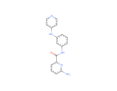 Nc1cccc(C(=O)Nc2cccc(Nc3ccncc3)c2)n1